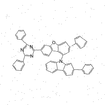 c1ccc(-c2cc(-n3c4ccccc4c4ccc(-c5ccccc5)cc43)c3c(c2)oc2cc(-c4nc(-c5ccccc5)nc(-c5ccccc5)n4)ccc23)cc1